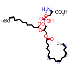 CC/C=C\C/C=C\C/C=C\C/C=C\CCCCC(=O)OC[C@H](COP(=O)(O)OC[C@H](N)C(=O)O)OC(=O)CCCCCCC/C=C\CCCC